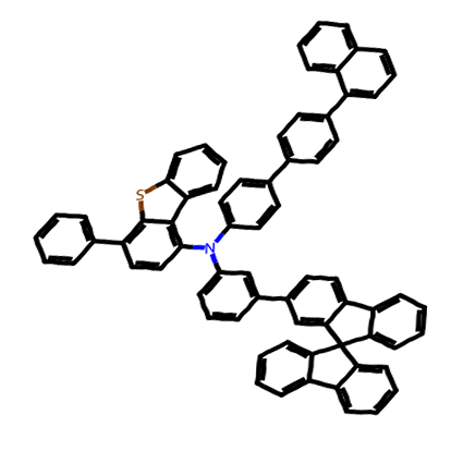 c1ccc(-c2ccc(N(c3ccc(-c4ccc(-c5cccc6ccccc56)cc4)cc3)c3cccc(-c4ccc5c(c4)C4(c6ccccc6-c6ccccc64)c4ccccc4-5)c3)c3c2sc2ccccc23)cc1